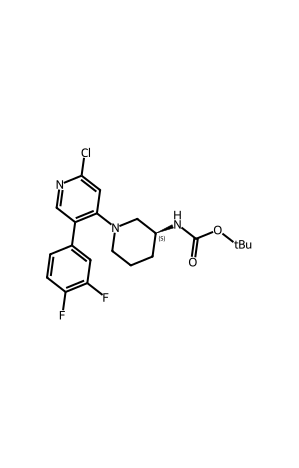 CC(C)(C)OC(=O)N[C@H]1CCCN(c2cc(Cl)ncc2-c2ccc(F)c(F)c2)C1